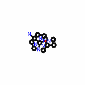 N#Cc1ccc(-c2c(-n3c4ccccc4c4ccccc43)c(C#N)c(-n3c4ccccc4c4cc(-c5ccccc5)c5c(c6c(n5-c5ccccc5)CCC=C6)c43)c(C#N)c2-n2c3ccccc3c3ccccc32)cc1